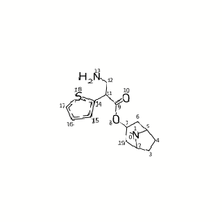 CN1C2CCC1CC(OC(=O)C(CN)c1cccs1)C2